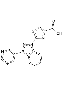 O=C(O)c1csc(-n2nc(-c3cncnc3)c3ccccc32)n1